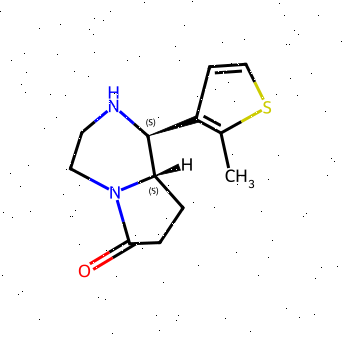 Cc1sccc1[C@@H]1NCCN2C(=O)CC[C@@H]12